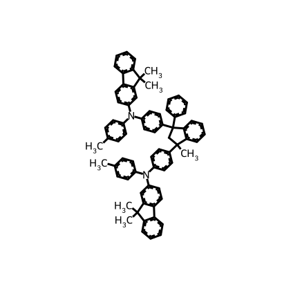 Cc1ccc(N(c2ccc(C3(C)CC(c4ccccc4)(c4ccc(N(c5ccc(C)cc5)c5ccc6c(c5)C(C)(C)c5ccccc5-6)cc4)c4ccccc43)cc2)c2ccc3c(c2)C(C)(C)c2ccccc2-3)cc1